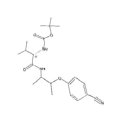 CC(NC(=O)[C@@H](NC(=O)OC(C)(C)C)C(C)C)C(C)Oc1ccc(C#N)cc1